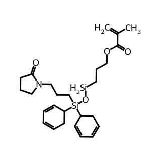 C=C(C)C(=O)OCCC[SiH2]O[Si](CCCN1CCCC1=O)(C1C=CC=CC1)C1C=CC=CC1